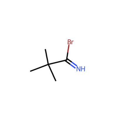 CC(C)(C)C(=N)Br